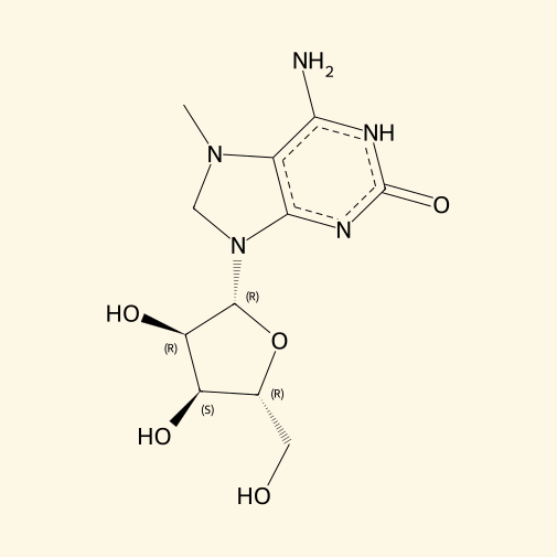 CN1CN([C@@H]2O[C@H](CO)[C@@H](O)[C@H]2O)c2nc(=O)[nH]c(N)c21